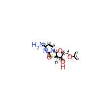 CC(C)OC[C@H]1O[C@@H](n2ccc(N)nc2=O)[C@](C)(F)[C@@H]1O